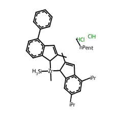 CC1=Cc2c(-c3ccccc3)cccc2[CH]1[Zr]([CH3])([SiH3])[CH]1C(C)=Cc2c(C(C)C)cc(C(C)C)cc21.CCCCCC.Cl.Cl